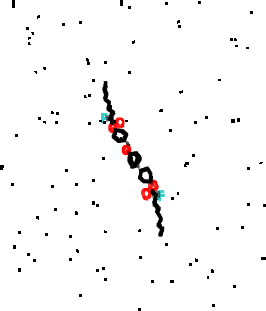 CCCCCCC[C@H](F)C(=O)O[C@H]1CC[C@H](COc2ccc([C@H]3CC[C@H](OC(=O)[C@@H](F)CCCCCCC)CC3)cc2)CC1